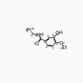 CCOc1ccc(C(=O)NCC(C)C)cc1O